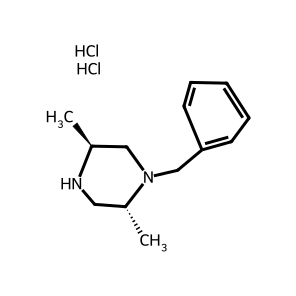 C[C@@H]1CN[C@@H](C)CN1Cc1ccccc1.Cl.Cl